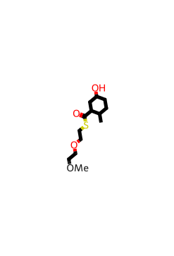 COCCOCCSC(=O)C1CC(O)CCC1C